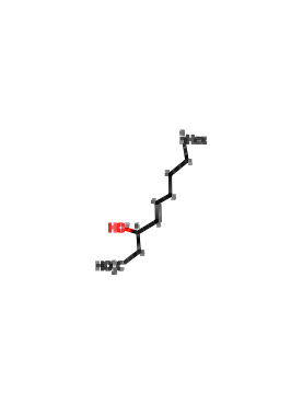 CCCCCCCCCC=CC(O)CC(=O)O